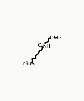 CCCCC(C)CCCCCCC(=O)NCCCOC